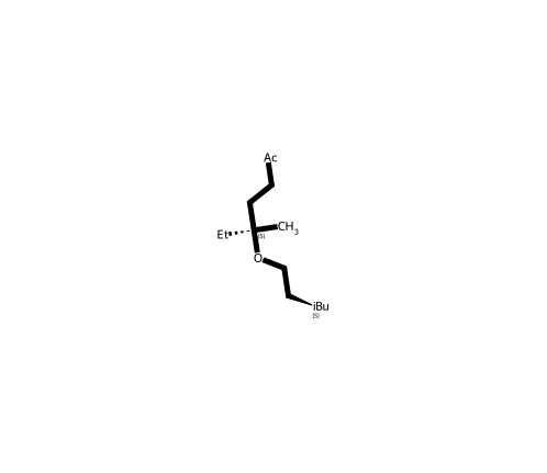 CC[C@H](C)CCO[C@@](C)(CC)CCC(C)=O